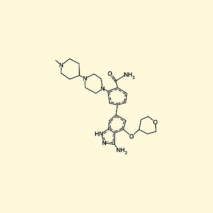 CN1CCC(N2CCN(c3cc(-c4cc(OC5CCOCC5)c5c(N)n[nH]c5c4)ccc3C(N)=O)CC2)CC1